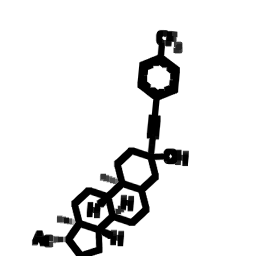 CC(=O)[C@H]1CC[C@H]2[C@@H]3CCC4CC(O)(C#Cc5ccc(C(F)(F)F)cc5)CC[C@]4(C)[C@H]3CC[C@]12C